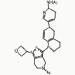 CC(=O)NC1CC=C(C2C=CC3=C(CCCN3c3nn(C4COC4)c4c3CN(C(C)=O)CC4)C2)C=N1